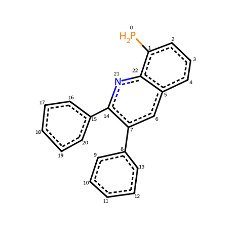 Pc1cccc2cc(-c3ccccc3)c(-c3ccccc3)nc12